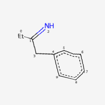 CCC(=N)Cc1cc[c]cc1